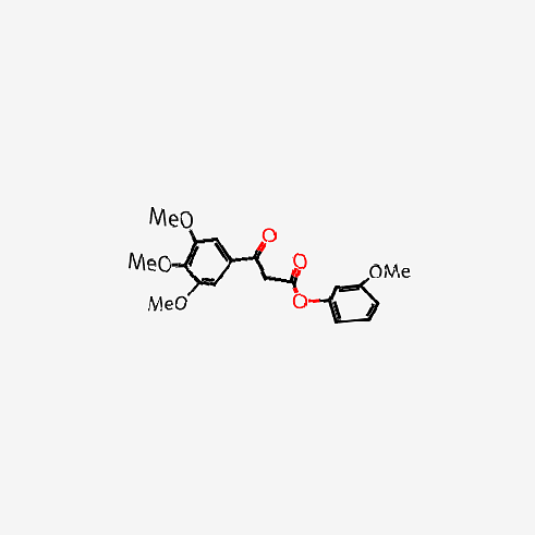 COc1cccc(OC(=O)CC(=O)c2cc(OC)c(OC)c(OC)c2)c1